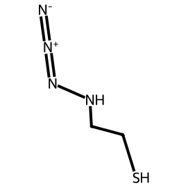 [N-]=[N+]=NNCCS